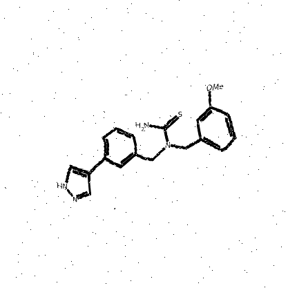 COc1cccc(CN(Cc2cccc(-c3cn[nH]c3)c2)C(N)=S)c1